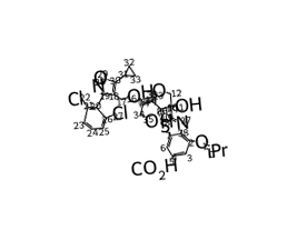 CC(C)Oc1cc(C(=O)O)cc2sc([C@@]3(O)CO[C@@H]4[C@@H](OCc5c(-c6c(Cl)cccc6Cl)noc5C5CC5)CO[C@@H]43)nc12